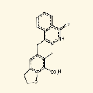 O=C(O)c1c(F)c(Cc2n[nH]c(=O)c3ccccc23)cc2c1OCC2